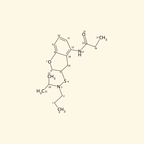 CCCN(SC1COc2cccc(NC(=O)CC)c2C1)C(C)C